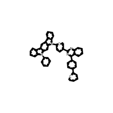 c1ccc(-c2ccc(-c3nc(-c4ccc(-n5c6ccccc6c6cc7c8ccccc8n(-c8ccccc8)c7cc65)cc4)nc4ccccc34)cc2)cc1